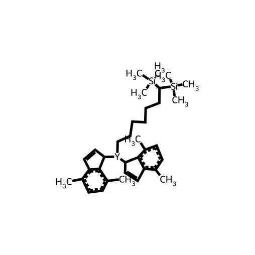 Cc1ccc(C)c2c1C=C[CH]2[Y]([CH2]CCCCC[C]([Si](C)(C)C)[Si](C)(C)C)[CH]1C=Cc2c(C)ccc(C)c21